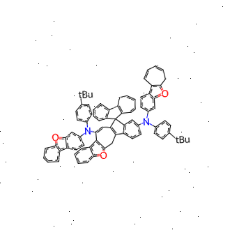 CC(C)(C)c1ccc(N(C2=CC3=C(Cc4oc5ccccc5c42)c2ccc(N(c4ccc(C(C)(C)C)cc4)c4ccc5c6c(oc5c4)CC=CC=C6)cc2C32C3=C(CC=CC=C3)c3ccccc32)c2ccc3c(c2)oc2ccccc23)cc1